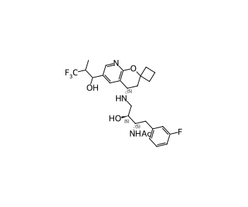 CC(=O)N[C@@H](Cc1cccc(F)c1)[C@@H](O)CN[C@H]1CC2(CCC2)Oc2ncc(C(O)C(C)C(F)(F)F)cc21